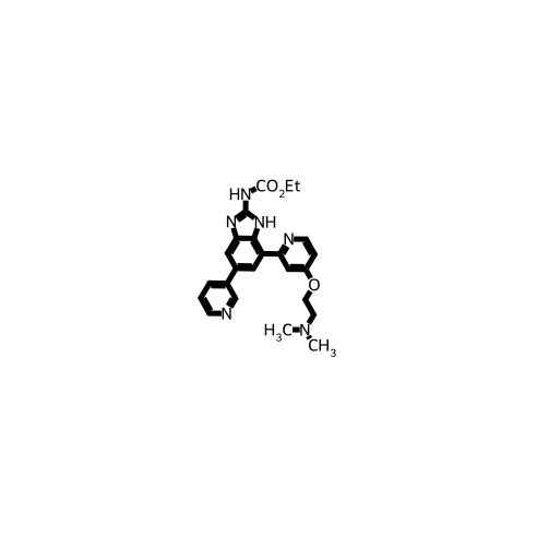 CCOC(=O)Nc1nc2cc(-c3cccnc3)cc(-c3cc(OCCN(C)C)ccn3)c2[nH]1